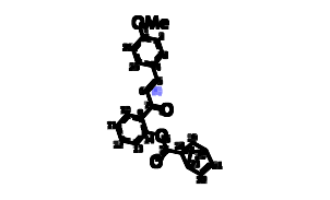 COc1ccc(/C=C/C(=O)c2ccccc2OC(=O)C2CC3C=CC2C3)cc1